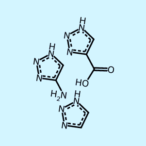 Nc1c[nH]nn1.O=C(O)c1c[nH]nn1.c1c[nH]nn1